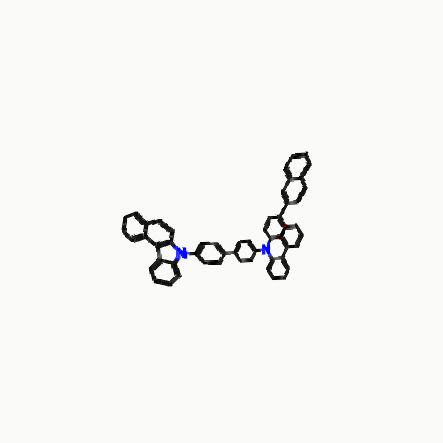 c1ccc(-c2ccccc2N(c2ccc(-c3ccc(-n4c5ccccc5c5c6ccccc6ccc54)cc3)cc2)c2ccc(-c3ccc4ccccc4c3)cc2)cc1